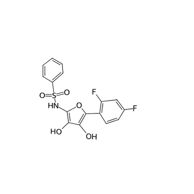 O=S(=O)(Nc1oc(-c2ccc(F)cc2F)c(O)c1O)c1ccccc1